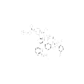 CC(C)(C)OC(=O)N1CCN(C(=O)OC(C)(C)C)C(c2nc(-c3cccc(NS(=O)(=O)c4cc(F)ccc4F)c3F)c(-c3ccnc(N)n3)s2)C1